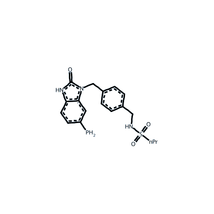 CCCS(=O)(=O)NCc1ccc(Cn2c(=O)[nH]c3ccc(P)cc32)cc1